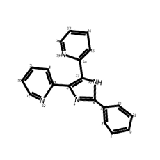 c1ccc(-c2nc(-c3ccccn3)c(-c3ccccn3)[nH]2)cc1